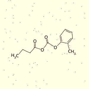 CCCC(=O)OC(=O)Oc1ccccc1C